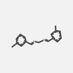 Cc1cccc(C=NCN=Cc2cccc(C)c2)c1